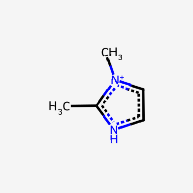 Cc1[nH]cc[n+]1C